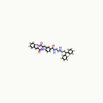 Cn1c(=O)/c(=C/c2cccc(C(=O)NCCNCCC(c3ccccc3)c3ccccc3)c2)[nH]c(=O)/c1=C/c1ccccc1